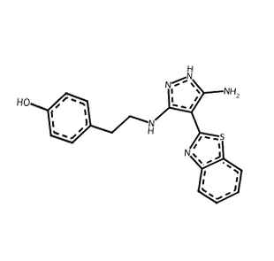 Nc1[nH]nc(NCCc2ccc(O)cc2)c1-c1nc2ccccc2s1